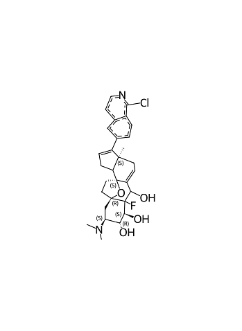 CN(C)[C@H]1C[C@@]23CC[C@@]4(O2)C(=CC[C@]2(C)C(c5ccc6c(Cl)nccc6c5)=CCC24)C(O)C3(F)[C@@H](O)[C@@H]1O